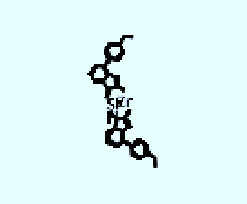 CCc1ccc(-c2cccc3c2C=C(C)C3C[SiH]([Zr])CC2C(C)=Cc3c(-c4ccc(CC)cc4)cccc32)cc1